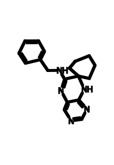 c1ccc(CNC2=Nc3cncnc3NC23CCCCC3)cc1